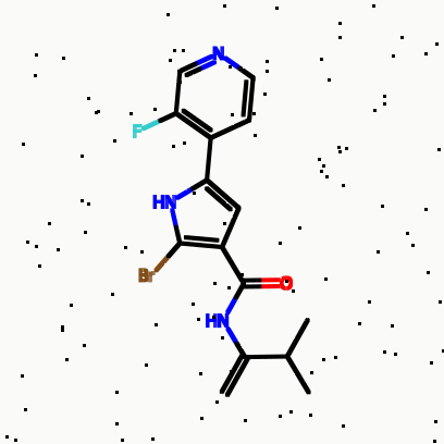 C=C(NC(=O)c1cc(-c2ccncc2F)[nH]c1Br)C(C)C